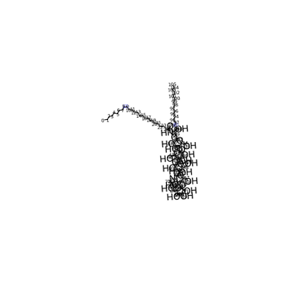 CCCCCCCC/C=C\CCCCCCCCCCCCCCCC(=O)N[C@@H](CO[C@@H]1OC(CO)[C@@H](O[C@@H]2OC(CO)[C@H](O[C@@H]3OC(CO)[C@H](O)[C@H](O[C@@H]4OC(CO)[C@H](O[C@@H]5OC(CO)[C@H](O)[C@H](O)C5O)[C@H](O)C4NC(C)=O)C3O)[C@H](O)C2O)[C@H](O)C1O)[C@H](O)/C=C/CCCCCCCCCCCCC